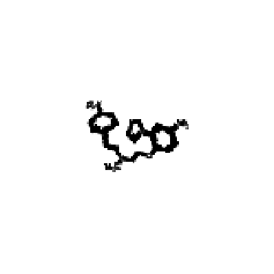 CN(CCOc1ccc([N+](=O)[O-])cc1-n1cccc1)CCc1ccc([N+](=O)[O-])cc1